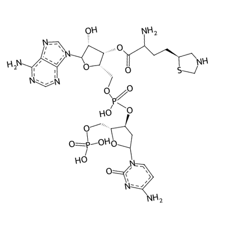 Nc1ccn(C2C[C@H](OP(=O)(O)OC[C@@H]3OC(n4cnc5c(N)ncnc54)[C@H](O)[C@@H]3OC(=O)C(N)CC[C@H]3CNCS3)[C@@H](COP(=O)(O)O)O2)c(=O)n1